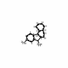 [2H]c1ccc2c(c1)C([2H])c1ccc3ccccc3c1-2